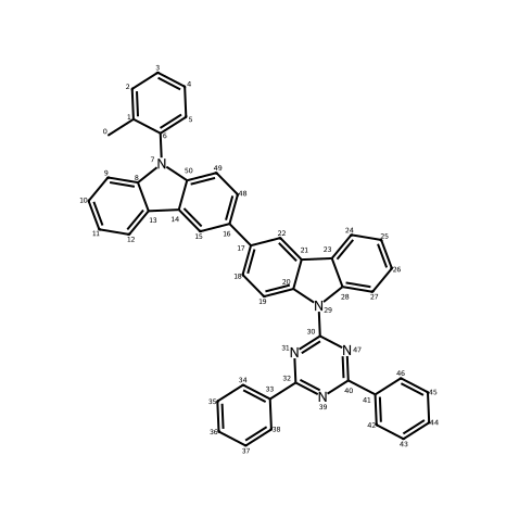 Cc1ccccc1-n1c2ccccc2c2cc(-c3ccc4c(c3)c3ccccc3n4-c3nc(-c4ccccc4)nc(-c4ccccc4)n3)ccc21